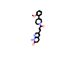 COc1ccccc1C1=CCN(C(=O)/C=C/c2cnc3c(c2)CCC(=O)N3)CCC1